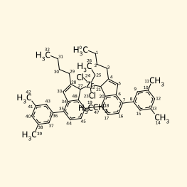 CCCCC1=Cc2c(-c3cc(C)cc(C)c3)ccc(C)c2[CH]1[Zr]([Cl])([Cl])([CH2]C)[CH]1C(CCCC)=Cc2c(-c3cc(C)cc(C)c3)ccc(C)c21